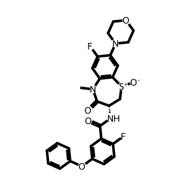 CN1C(=O)[C@@H](NC(=O)c2cc(Oc3ccccc3)ccc2F)C[S+]([O-])c2cc(N3CCOCC3)c(F)cc21